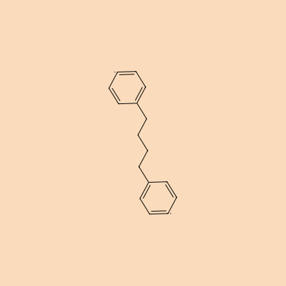 [c]1ccc(CCCCc2cc[c]cc2)cc1